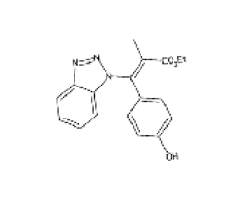 CCOC(=O)C(C)=C(c1ccc(O)cc1)n1nnc2ccccc21